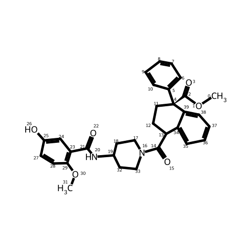 COC(=O)[C@]1(c2ccccc2)CCC(C(=O)N2CCC(NC(=O)c3cc(O)ccc3OC)CC2)c2ccccc21